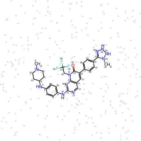 CN1CCC(Nc2ccc(Nc3ncc4cc(-c5ccc(C6=NNNN6C)cc5)c(=O)n(CC(F)(F)F)c4n3)cc2)CC1